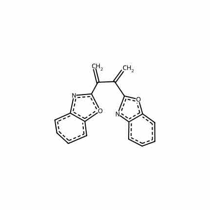 C=C(C(=C)c1nc2ccccc2o1)c1nc2ccccc2o1